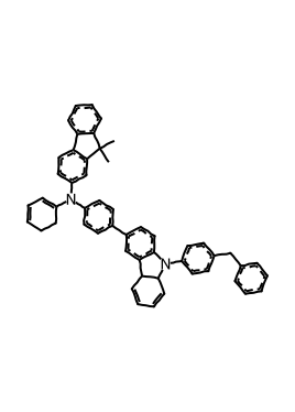 CC1(C)c2ccccc2-c2ccc(N(C3=CC=CCC3)c3ccc(-c4ccc5c(c4)C4C=CC=CC4N5c4ccc(Cc5ccccc5)cc4)cc3)cc21